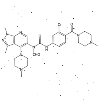 Cc1nn(C)c2ncc(N(C=O)C(=O)Nc3ccc(C(=O)N4CCN(C)CC4)c(Cl)c3)c(N3CCN(C)CC3)c12